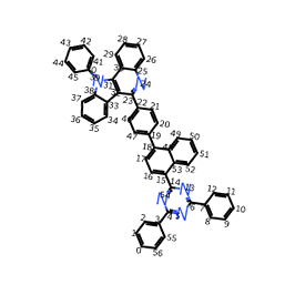 c1ccc(-c2nc(-c3ccccc3)nc(-c3ccc(-c4ccc(-c5nc6ccccc6c6c5c5ccccc5n6-c5ccccc5)cc4)c4ccccc34)n2)cc1